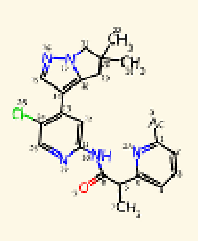 CC(=O)c1cccc(C(C)C(=O)Nc2cc(-c3cnn4c3CC(C)(C)C4)c(Cl)cn2)n1